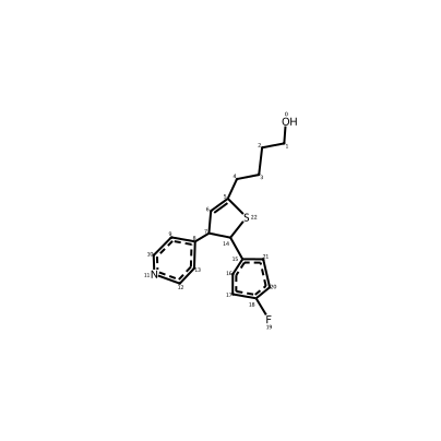 OCCCCC1=CC(c2ccncc2)C(c2ccc(F)cc2)S1